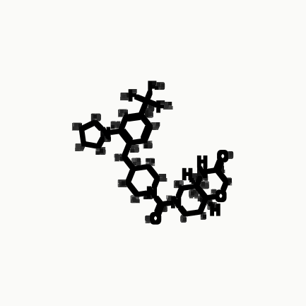 O=C1CO[C@H]2CCN(C(=O)N3CCC(Cc4ccc(C(F)(F)F)cc4N4CCCC4)CC3)C[C@H]2N1